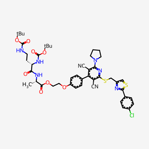 C[C@H](NC(=O)[C@H](CCNC(=O)OC(C)(C)C)NC(=O)OC(C)(C)C)C(=O)OCCOc1ccc(-c2c(C#N)c(SCc3csc(-c4ccc(Cl)cc4)n3)nc(N3CCCC3)c2C#N)cc1